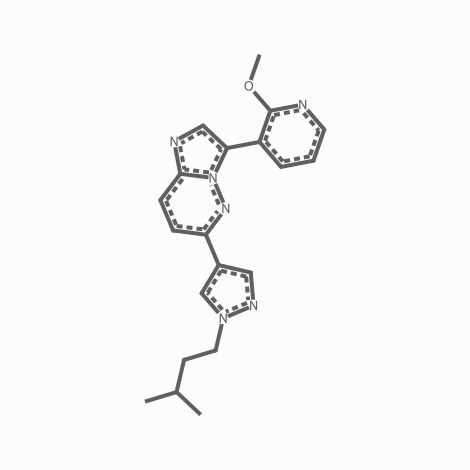 COc1ncccc1-c1cnc2ccc(-c3cnn(CCC(C)C)c3)nn12